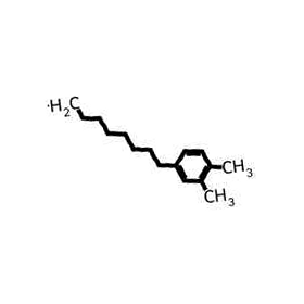 [CH2]CCCCCCCc1ccc(C)c(C)c1